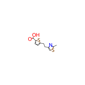 Cc1nc(CCc2ccc(C(=O)O)s2)cs1